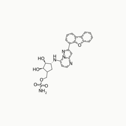 NS(=O)(=O)OCC1C[C@@H](Nc2ccnc3cc(-c4cccc5c4oc4ccccc45)nn23)[C@H](O)[C@@H]1O